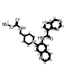 CC(C)(C)OC(=O)NCC1CCN(c2cc3ncccc3cc2NC(=O)c2csc3cncnc23)CC1